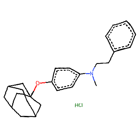 CN(CCc1ccccc1)c1ccc(OC23CC4CC(CC(C4)C2)C3)cc1.Cl